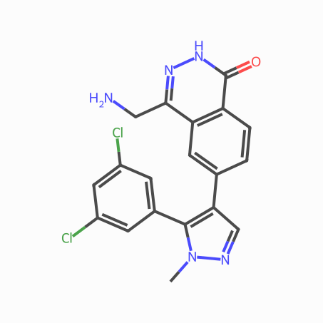 Cn1ncc(-c2ccc3c(=O)[nH]nc(CN)c3c2)c1-c1cc(Cl)cc(Cl)c1